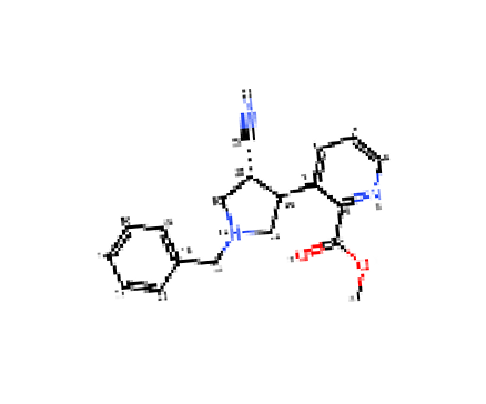 COC(=O)c1ncccc1[C@H]1CN(Cc2ccccc2)C[C@@H]1C#N